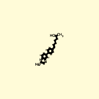 CC(O)CCC/C=C/c1ccc(-c2ccc3nc(O)cnc3c2)cc1